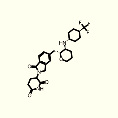 O=C1CCC(N2Cc3cc(C[C@H]4OCCC[C@@H]4N[C@H]4CC[C@H](C(F)(F)F)CC4)ccc3C2=O)C(=O)N1